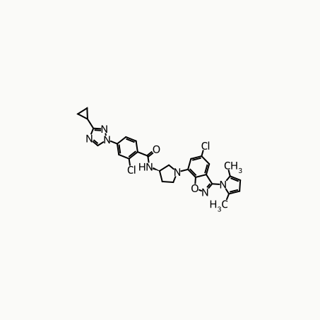 Cc1ccc(C)n1-c1noc2c(N3CC[C@@H](NC(=O)c4ccc(-n5cnc(C6CC6)n5)cc4Cl)C3)cc(Cl)cc12